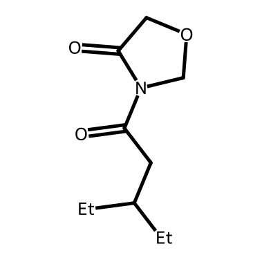 CCC(CC)CC(=O)N1COCC1=O